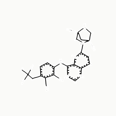 CC(F)(F)Cc1ccc(Nc2ncnc3ccc(N4C[C@@H]5C[C@H]4CN5)nc23)c(F)c1Cl